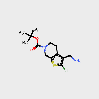 CC(C)(C)OC(=O)N1CCc2c(sc(Cl)c2CN)C1